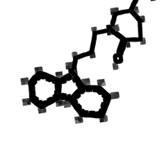 CC1CCC(=O)N(CCCn2c3ccccc3c3ccccc32)C1